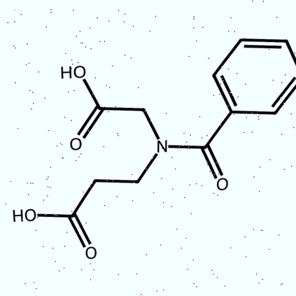 O=C(O)CCN(CC(=O)O)C(=O)c1ccccc1